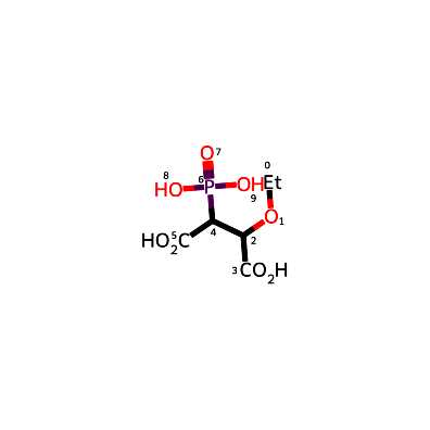 CCOC(C(=O)O)C(C(=O)O)P(=O)(O)O